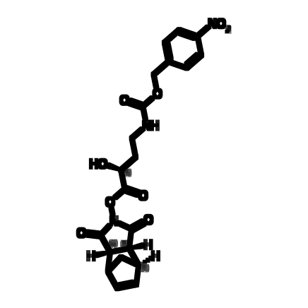 O=C(NCC[C@H](O)C(=O)ON1C(=O)[C@@H]2[C@H]3C=CC(C3)[C@@H]2C1=O)OCc1ccc([N+](=O)[O-])cc1